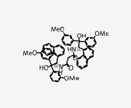 COc1cccc(C(O)(c2cccc(OC)c2)[C@@H](NC(=O)CC(=O)N[C@@H](c2cccc3ccccc23)C(O)(c2cccc(OC)c2)c2cccc(OC)c2)c2cccc3ccccc23)c1